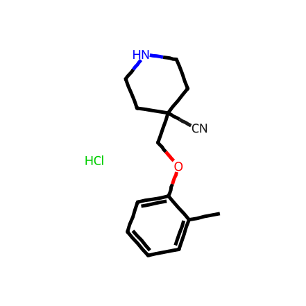 Cc1ccccc1OCC1(C#N)CCNCC1.Cl